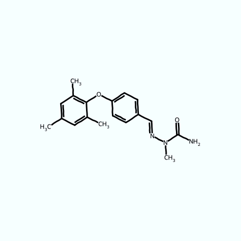 Cc1cc(C)c(Oc2ccc(C=NN(C)C(N)=O)cc2)c(C)c1